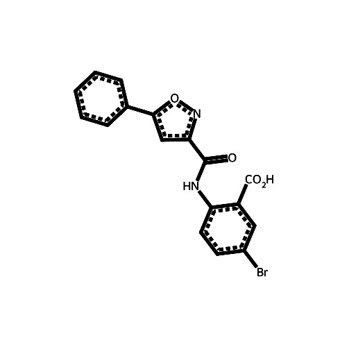 O=C(Nc1ccc(Br)cc1C(=O)O)c1cc(-c2ccccc2)on1